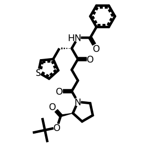 CC(C)(C)OC(=O)[C@@H]1CCCN1C(=O)CCC(=O)[C@H](Cc1ccsc1)NC(=O)c1ccccc1